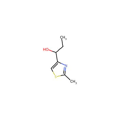 CCC(O)c1csc(C)n1